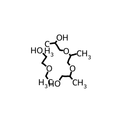 CC(O)COC(C)COC(C)CO.CCOCCO